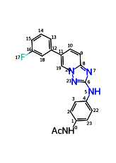 CC(=O)Nc1ccc(Nc2nc3ccc(-c4cccc(F)c4)cn3n2)cc1